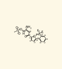 CS(=O)(=O)ONC(N)=NC(=O)c1ccc(-c2ccccc2C(F)(F)F)o1